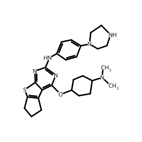 CN(C)C1CCC(Oc2nc(Nc3ccc(N4CCNCC4)cc3)nc3sc4c(c23)CCC4)CC1